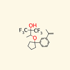 C=C(C)c1cccc(C2(OC(C)C(O)(C(F)(F)F)C(F)(F)F)CCCC2)c1